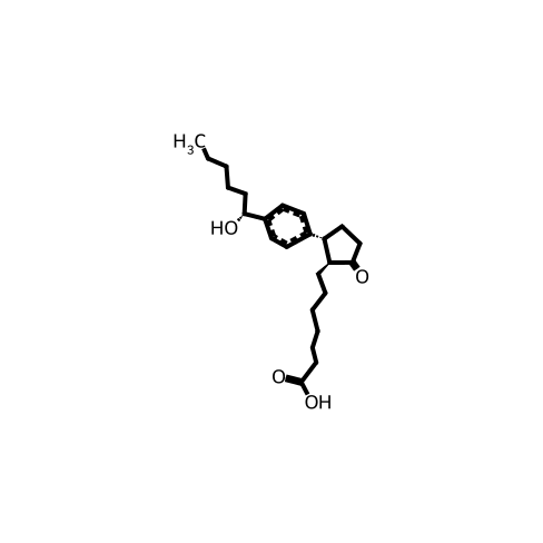 CCCCC[C@@H](O)c1ccc([C@@H]2CCC(=O)[C@H]2CCCCCCC(=O)O)cc1